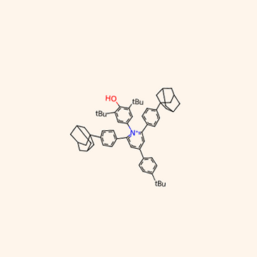 CC(C)(C)c1ccc(-c2cc(-c3ccc(C45CC6CC(CC(C6)C4)C5)cc3)[n+](-c3cc(C(C)(C)C)c(O)c(C(C)(C)C)c3)c(-c3ccc(C45CC6CC(CC(C6)C4)C5)cc3)c2)cc1